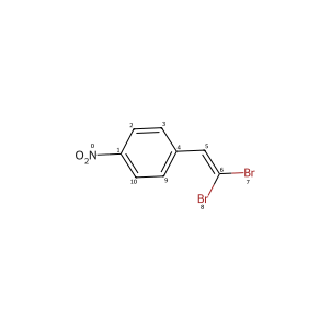 O=[N+]([O-])c1ccc(C=C(Br)Br)cc1